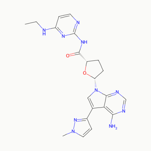 CCNc1ccnc(NC(=O)[C@@H]2CC[C@H](n3cc(-c4ccn(C)n4)c4c(N)ncnc43)O2)n1